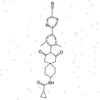 Cc1cc(-c2ccc(C#N)cn2)cc(C)c1C1C(=O)CC2(CCC(NC(=O)C3CC3)CC2)CC1=O